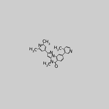 Cc1cc(-c2cc3n(C)c(=O)c4ccc(-c5cnccc5C)cc4n3n2)cc(C)n1